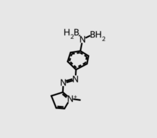 BN(B)c1ccc(/N=N/C2=[N+](C)C=CC2)cc1